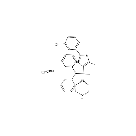 Cc1[nH]c(-c2cccc(Cl)c2)nc1C(C)(C(c1ccccc1)c1ccccc1)N1CCNCC1.Cl.Cl.Cl